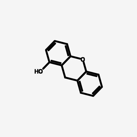 Oc1cccc2c1Cc1ccccc1O2